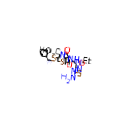 CCON=C(C(=O)NC1C(=O)N2C(C(=O)O)=C(S/C=C\c3ccccc3)CS[C@@H]12)c1nsc(N)n1